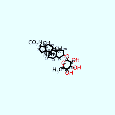 CN[C@@]12CCC(C(=O)O)[C@@]1(C)CC[C@@H]1[C@H]2CCC2CC(O[C@@H]3O[C@H](C)[C@@H](O)[C@H](O)[C@@H]3O)CC[C@@]21C